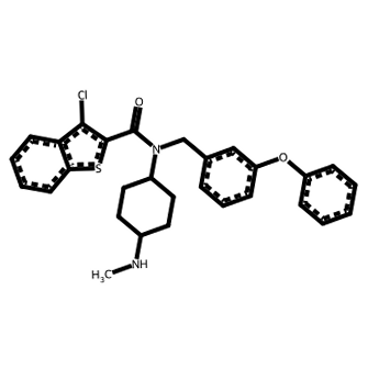 CNC1CCC(N(Cc2cccc(Oc3ccccc3)c2)C(=O)c2sc3ccccc3c2Cl)CC1